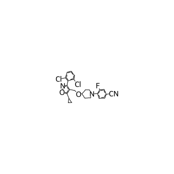 N#Cc1ccc(N2CCC(OCc3c(-c4c(Cl)cccc4Cl)noc3C3CC3)CC2)c(F)c1